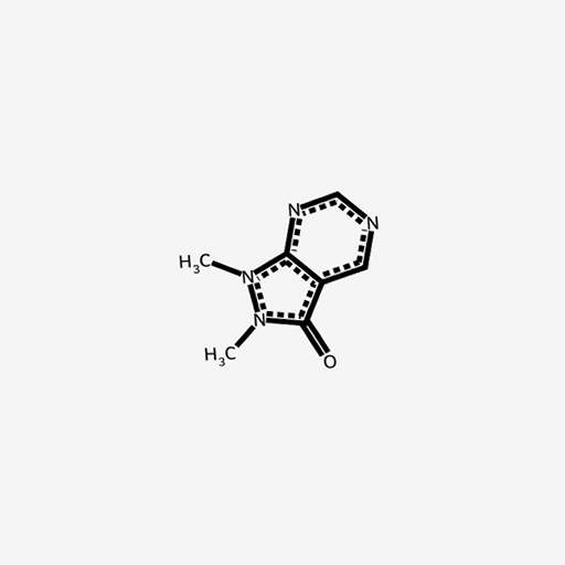 Cn1c(=O)c2cncnc2n1C